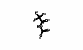 [O]C(=S)NC(=O)C(F)(F)F